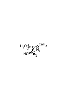 O.O.O.O=[N+]([O-])O.[CaH2]